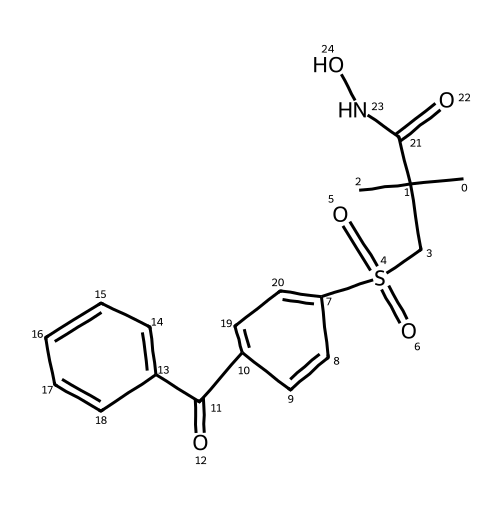 CC(C)(CS(=O)(=O)c1ccc(C(=O)c2ccccc2)cc1)C(=O)NO